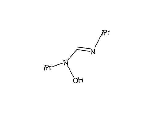 CC(C)N=CN(O)C(C)C